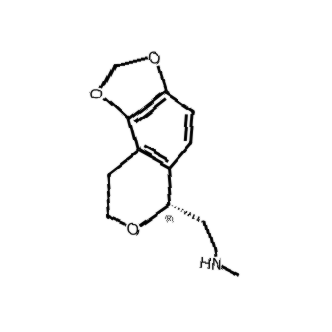 CNC[C@@H]1OCCc2c1ccc1c2OCO1